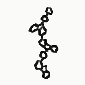 c1ccc(-c2ccc(-n3c4ccccc4c4cc(-c5ccc6c(c5)c5ccccc5n6-c5ccc(-c6cccc7c6Cc6ccccc6-7)cc5)ccc43)cc2)cc1